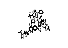 C=C[C@@H]1C[C@]1(NC(=O)[C@@H]1C[C@@H](Oc2cc(-c3csc(NC(C)C)n3)nc3cc(OC)ccc23)CN1C(=O)C(NC(=O)OC1CCCC1)C(C)(C)C)P(=O)(O)Cc1nc(C)cs1